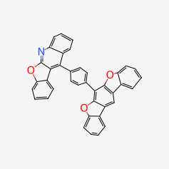 c1ccc2c(-c3ccc(-c4c5oc6ccccc6c5cc5c4oc4ccccc45)cc3)c3c(nc2c1)oc1ccccc13